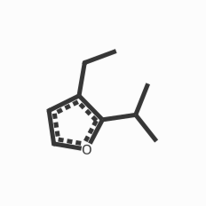 CCc1ccoc1C(C)C